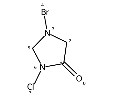 O=C1CN(Br)CN1Cl